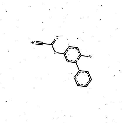 C#CC(=O)Oc1ccc(Br)c(-c2ccccc2)c1